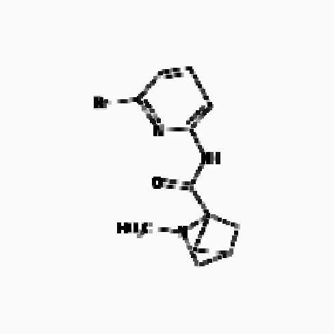 O=C(O)N1CC2CC1(C(=O)Nc1cccc(Br)n1)C2